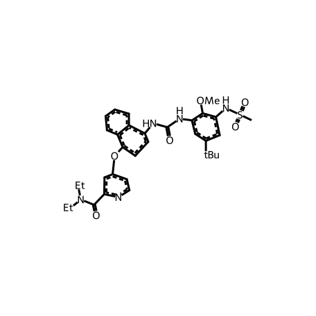 CCN(CC)C(=O)c1cc(Oc2ccc(NC(=O)Nc3cc(C(C)(C)C)cc(NS(C)(=O)=O)c3OC)c3ccccc23)ccn1